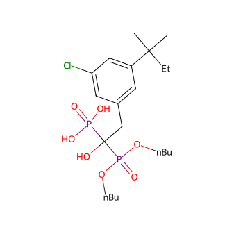 CCCCOP(=O)(OCCCC)C(O)(Cc1cc(Cl)cc(C(C)(C)CC)c1)P(=O)(O)O